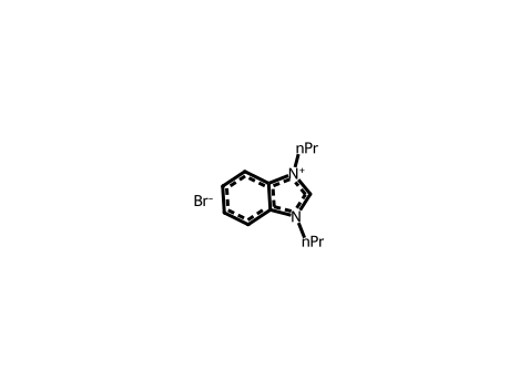 CCCn1c[n+](CCC)c2ccccc21.[Br-]